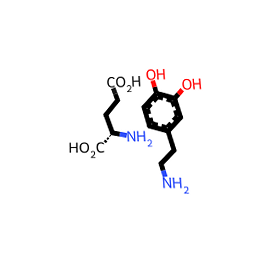 NCCc1ccc(O)c(O)c1.N[C@@H](CCC(=O)O)C(=O)O